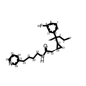 CCCC(C)(c1cccc(F)c1)C1C[C@H]1CC(=O)NCCCCc1cccnc1